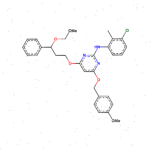 COCOC(CCOc1cc(OCc2ccc(OC)cc2)nc(Nc2cccc(Cl)c2C)n1)c1ccccc1